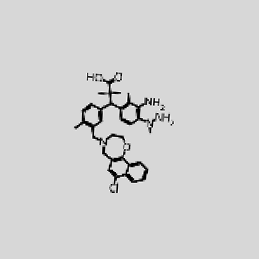 Cc1ccc(C(c2ccc(N(C)N)c(N)c2C)C(C)(C)C(=O)O)cc1CN1CCOc2c(cc(Cl)c3ccccc23)C1